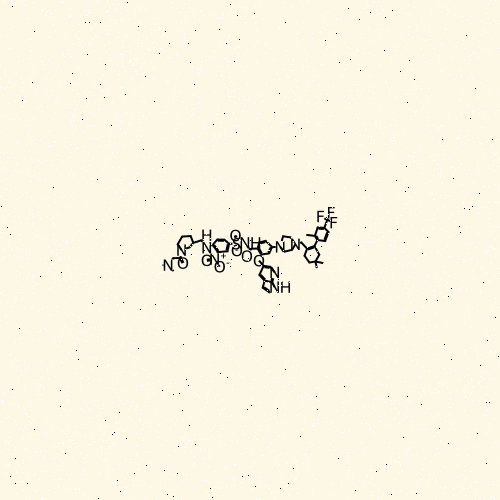 Cc1cc(C(F)(F)F)ccc1C1=C(CN2CCN(c3ccc(C(=O)NS(=O)(=O)c4ccc(NCC5CCCN(C(=O)CN(C)C)C5)c([N+](=O)[O-])c4)c(Oc4cnc5[nH]ccc5c4)c3)CC2)CCC(C)(C)C1